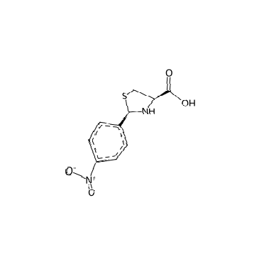 O=C(O)[C@@H]1CS[C@H](c2ccc([N+](=O)[O-])cc2)N1